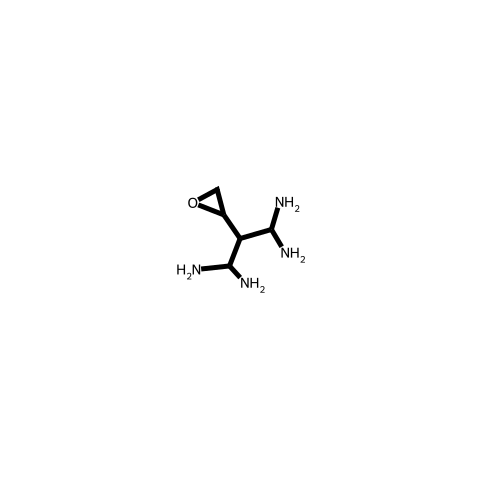 NC(N)C(C(N)N)C1CO1